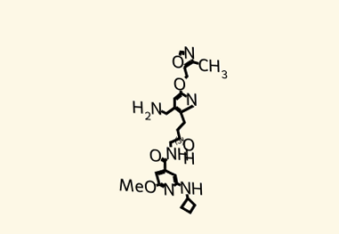 COc1cc(C(=O)NC[C@@H](O)CCc2cnc(OCc3ocnc3C)cc2CN)cc(NC2CCC2)n1